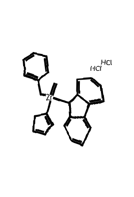 Cl.Cl.[CH2]=[Zr]([CH2]c1ccccc1)([C]1=CC=CC1)[CH]1c2ccccc2-c2ccccc21